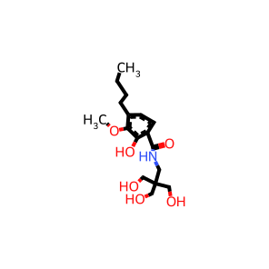 CCCCc1ccc(C(=O)NCC(CO)(CO)CO)c(O)c1OC